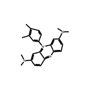 Cc1ccc(-[n+]2c3cc(N(C)C)ccc3nc3ccc(N(C)C)cc32)cc1C